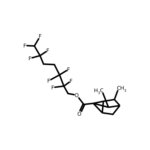 CC1C2CC3C1C3(C(=O)OCC(F)(F)C(F)(F)CCC(F)(F)C(F)F)C2C